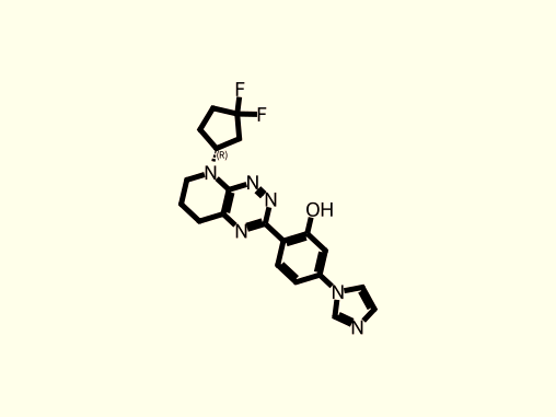 Oc1cc(-n2ccnc2)ccc1-c1nnc2c(n1)CCCN2[C@@H]1CCC(F)(F)C1